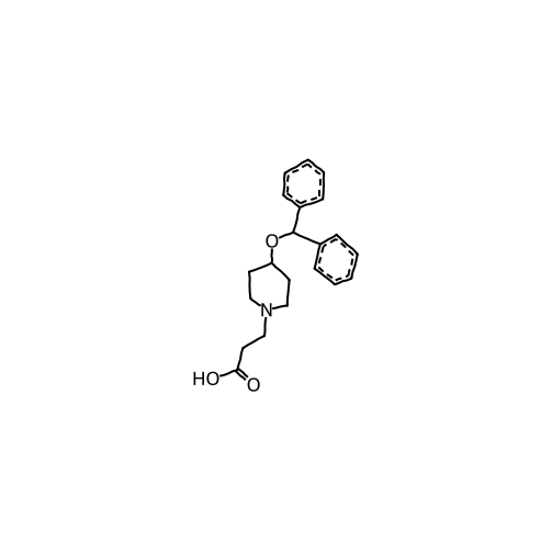 O=C(O)CCN1CCC(OC(c2ccccc2)c2ccccc2)CC1